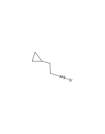 [Br][Mg][CH2]CC1CC1